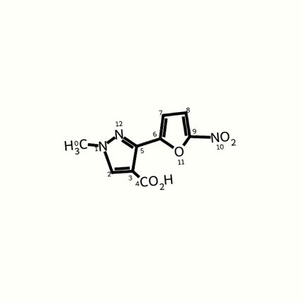 Cn1cc(C(=O)O)c(-c2ccc([N+](=O)[O-])o2)n1